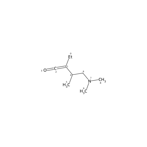 CCC(=C=O)C(C)CN(C)C